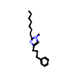 CCCCCCCc1nc(CCCc2ccccc2)cn1C